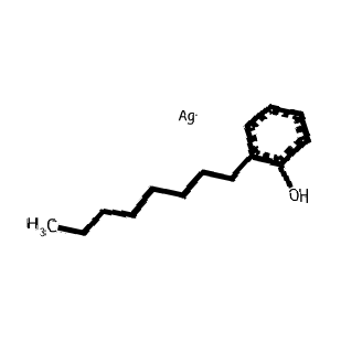 CCCCCCCCc1ccccc1O.[Ag]